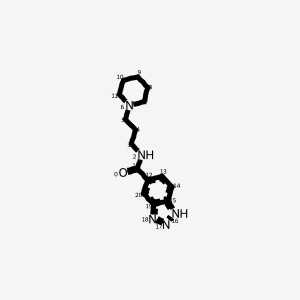 O=C(NCCCN1CCCCC1)c1ccc2[nH]nnc2c1